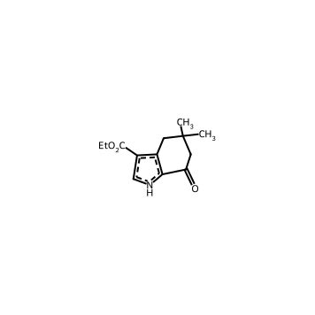 CCOC(=O)c1c[nH]c2c1CC(C)(C)CC2=O